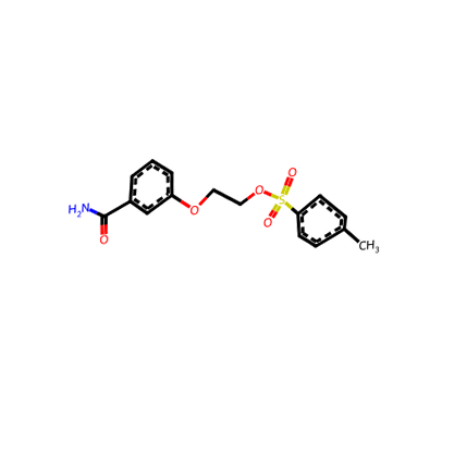 Cc1ccc(S(=O)(=O)OCCOc2cccc(C(N)=O)c2)cc1